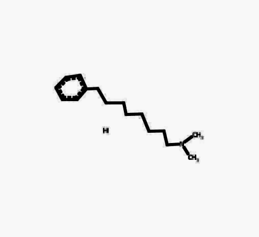 CN(C)CCCCCCCCc1ccccc1.I